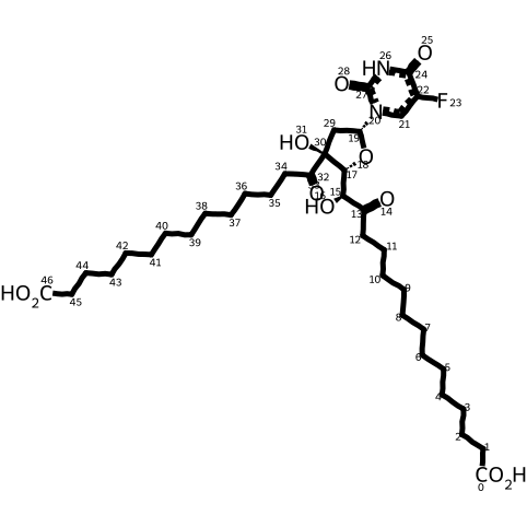 O=C(O)CCCCCCCCCCCCC(=O)[C@@H](O)[C@H]1O[C@@H](n2cc(F)c(=O)[nH]c2=O)C[C@@]1(O)C(=O)CCCCCCCCCCCCC(=O)O